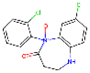 O=C1CCNc2ccc(Cl)cc2[N+]1([O-])c1ccccc1Cl